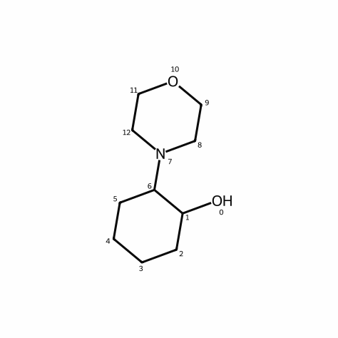 OC1CCCCC1N1CCOCC1